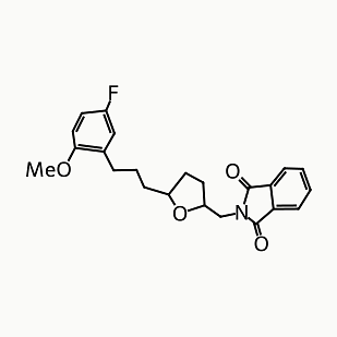 COc1ccc(F)cc1CCCC1CCC(CN2C(=O)c3ccccc3C2=O)O1